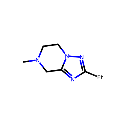 CCc1nc2n(n1)CCN(C)C2